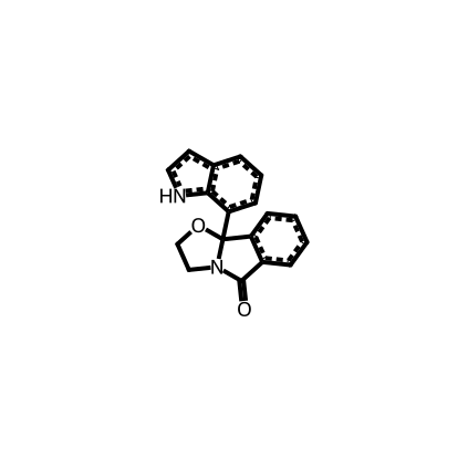 O=C1c2ccccc2C2(c3cccc4cc[nH]c34)OCCN12